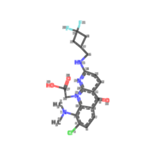 CN(C)c1c(Cl)ccc2c(=O)c3ccc(NCC4CC(F)(F)C4)nc3n(CC(=O)O)c12